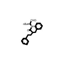 CCCC[C@@H]([C]=O)NC(=O)C(CCc1ccccc1)Cc1ccccc1